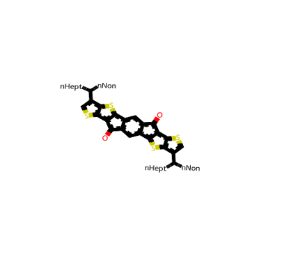 CCCCCCCCCC(CCCCCCC)c1csc2c1sc1c3cc4c(=O)c5c6scc(C(CCCCCCC)CCCCCCCCC)c6sc5c4cc3c(=O)c21